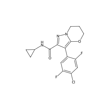 O=C(NC1CC1)c1nn2c(c1-c1cc(F)c(Cl)cc1F)OCCC2